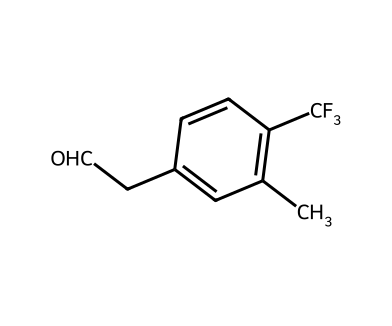 Cc1cc(CC=O)ccc1C(F)(F)F